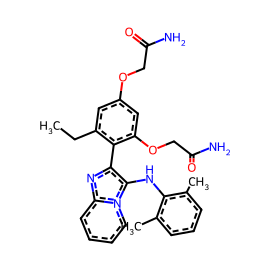 CCc1cc(OCC(N)=O)cc(OCC(N)=O)c1-c1nc2ccccn2c1Nc1c(C)cccc1C